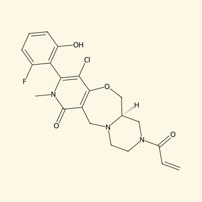 C=CC(=O)N1CCN2Cc3c(c(Cl)c(-c4c(O)cccc4F)n(C)c3=O)OC[C@H]2C1